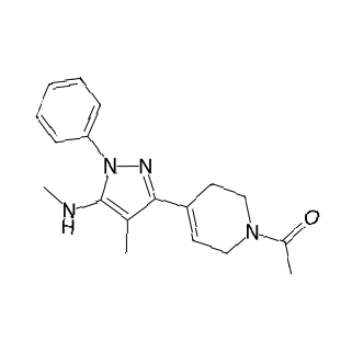 CNc1c(C)c(C2=CCN(C(C)=O)CC2)nn1-c1ccccc1